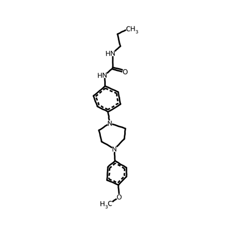 CCCNC(=O)Nc1ccc(N2CCN(c3ccc(OC)cc3)CC2)cc1